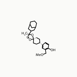 COCc1cc([C@H]2CC[C@]3(CC2)OO[C@@](C)(C2CC4CCCC(C4)C2)O3)ccc1O